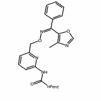 CCCCCC(=O)Nc1cccc(CON=C(c2ccccc2)c2ocnc2C)n1